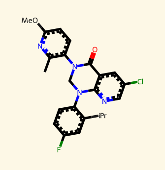 COc1ccc(N2CN(c3ccc(F)cc3C(C)C)c3ncc(Cl)cc3C2=O)c(C)n1